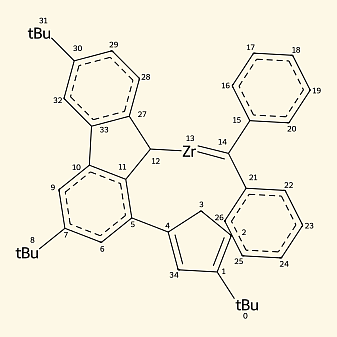 CC(C)(C)C1=CCC(c2cc(C(C)(C)C)cc3c2[CH]([Zr]=[C](c2ccccc2)c2ccccc2)c2ccc(C(C)(C)C)cc2-3)=C1